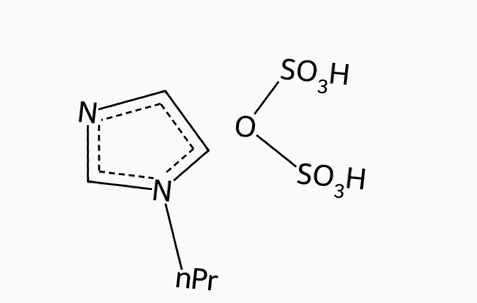 CCCn1ccnc1.O=S(=O)(O)OS(=O)(=O)O